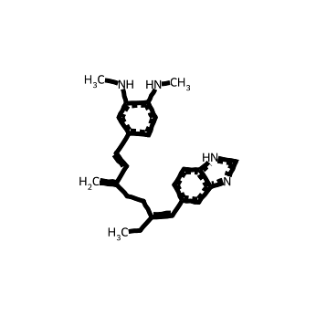 C=C(/C=C/c1ccc(NC)c(NC)c1)CC/C(=C\c1ccc2[nH]cnc2c1)CC